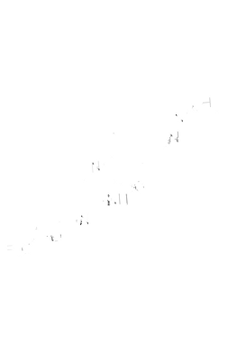 Cn1cc2ccc(-c3nc4ccc(OCC(F)(F)F)nc4[nH]c3=O)cc2n1